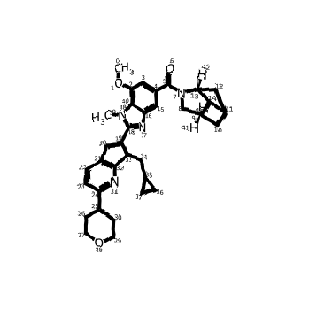 COc1cc(C(=O)N2C[C@H]3CC4C[C@@H]2[C@H]43)cc2nc(C3=Cc4ccc(C5CCOCC5)nc4C3CC3CC3)n(C)c12